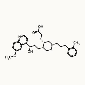 COc1ccc2nccc([C@H](O)CC[C@@H]3CCN(CCCc4ccccc4C)C[C@H]3CCC(=O)O)c2c1